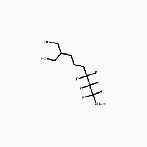 CCCCCCCC(F)(F)C(F)(F)C(F)(F)CCCC(CO)CO